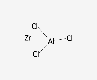 [Cl][Al]([Cl])[Cl].[Zr]